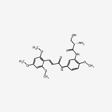 COc1cc(OC)c(C=CC(=O)Nc2ccc(OC)c(NC(=O)[C@@H](N)CO)c2)c(OC)c1